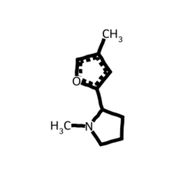 Cc1coc(C2CCCN2C)c1